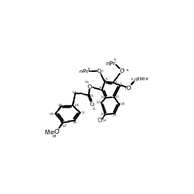 CCCCCCOc1c(OCCC)c(OCCC)c(OC(=O)Cc2ccc(OC)cc2)c2cc(Cl)ccc12